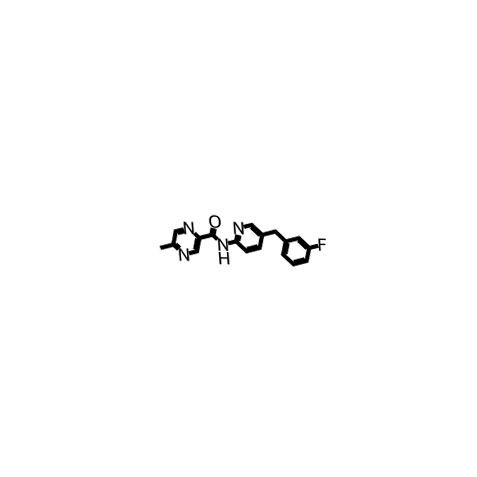 Cc1cnc(C(=O)Nc2ccc(Cc3cccc(F)c3)cn2)cn1